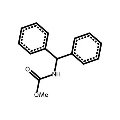 COC(=O)NC(c1ccccc1)c1ccccc1